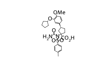 COc1ccc([C@H]2CC[C@](C(=O)O)(N(C(N)=O)S(=O)(=O)c3ccc(C)cc3)C2)cc1OC1CCCC1